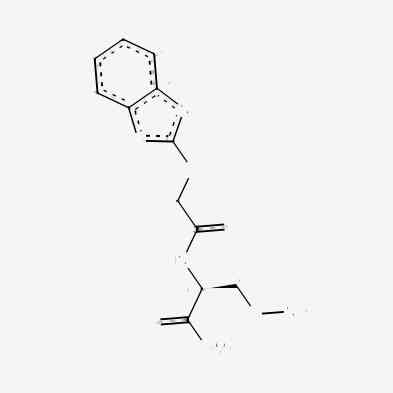 COC(=O)[C@H](CSN=O)NC(=O)CSc1nc2ccccc2o1